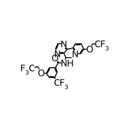 CC(NC(=O)c1cc(OCC(F)(F)F)cc(C(F)(F)F)c1)c1nccnc1-c1ccc(OCC(F)(F)F)cn1